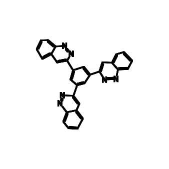 c1ccc2nnc(-c3cc(-c4cc5ccccc5nn4)cc(-c4cc5ccccc5nn4)c3)cc2c1